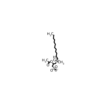 CCCCCCCCCCCC[N+](C)(C)CC(CS(=O)(=O)[O-])OC(C)=O